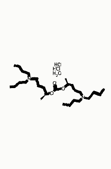 CCCCN(CCCC)CCC[C@H](C)OC(=O)O[C@@H](C)CCCN(CCCC)CCCC.Cl.Cl.O